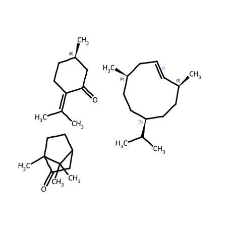 CC(C)=C1CC[C@@H](C)CC1=O.CC(C)[C@H]1CC[C@@H](C)C/C=C/[C@@H](C)CC1.CC12CCC(CC1=O)C2(C)C